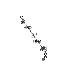 O=CCOc1ccc(-c2cccc(C(=O)NCCCCCC(=O)NCCCCCC(=O)NCCCCCC(=O)NCCCCCC(=O)OCc3ccccc3)c2)cc1